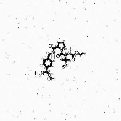 CCOC(=O)NC(C(=O)N1CCCC1C(=O)NCc1ccc(C(N)=NO)cc1)C(C)(C)SC